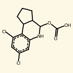 O=C(O)OC1Nc2cc(Cl)cc(Cl)c2C2CCCC12